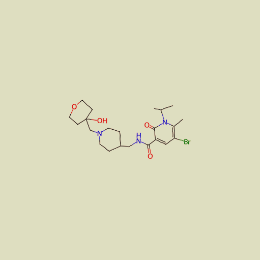 Cc1c(Br)cc(C(=O)NCC2CCN(CC3(O)CCOCC3)CC2)c(=O)n1C(C)C